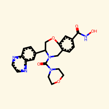 O=C(NO)c1ccc2c(c1)OCC(c1ccc3nccnc3c1)N(C(=O)N1CCOCC1)C2